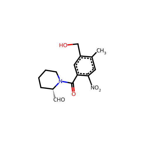 Cc1cc([N+](=O)[O-])c(C(=O)N2CCCC[C@H]2C=O)cc1CO